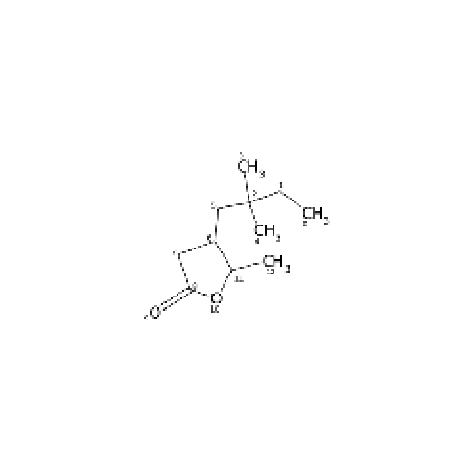 CCC(C)(C)CC1CC(=O)OC1C